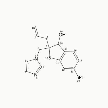 C=CCC1(Cn2ccnc2)Sc2cc(C(C)C)ccc2C1O